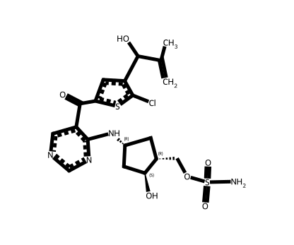 C=C(C)C(O)c1cc(C(=O)c2cncnc2N[C@@H]2C[C@H](COS(N)(=O)=O)[C@@H](O)C2)sc1Cl